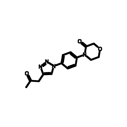 CC(=O)Cc1cn(-c2ccc(N3CCOCC3=O)cc2)nn1